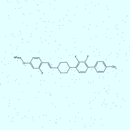 CCCCCOc1ccc(/C=C/C2CCC(c3ccc(-c4ccc(C)cc4)c(F)c3F)CC2)c(F)c1